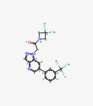 O=C(Cn1ncc2ncc(-c3cccc(C(F)(F)F)c3)cc21)N1CC(F)(F)C1